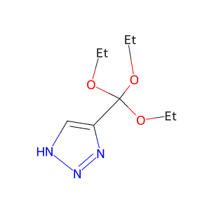 CCOC(OCC)(OCC)c1c[nH]nn1